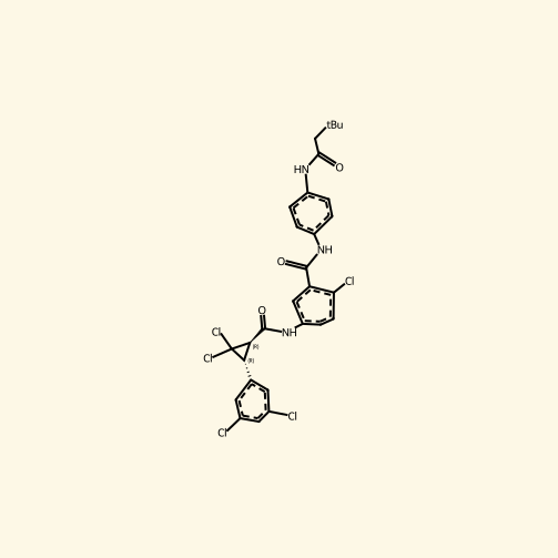 CC(C)(C)CC(=O)Nc1ccc(NC(=O)c2cc(NC(=O)[C@H]3[C@H](c4cc(Cl)cc(Cl)c4)C3(Cl)Cl)ccc2Cl)cc1